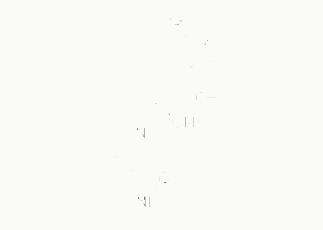 Cc1c([C@@H](O)CN2CCC3(CCCNC3=O)CC2)ccc2c1COC2=O